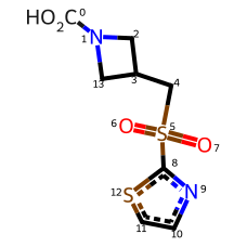 O=C(O)N1CC(CS(=O)(=O)c2nccs2)C1